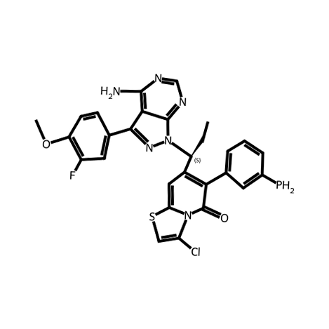 CC[C@@H](c1cc2scc(Cl)n2c(=O)c1-c1cccc(P)c1)n1nc(-c2ccc(OC)c(F)c2)c2c(N)ncnc21